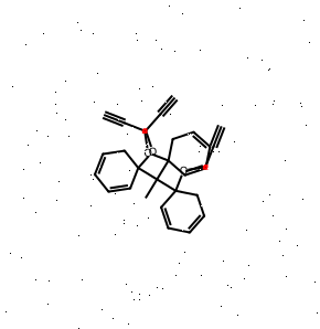 C#CCOC1(C(C)(C2(OCC#C)C=CC=CC2)C2(OCC#C)C=CC=CC2)C=CC=CC1